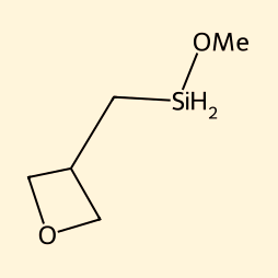 CO[SiH2]CC1COC1